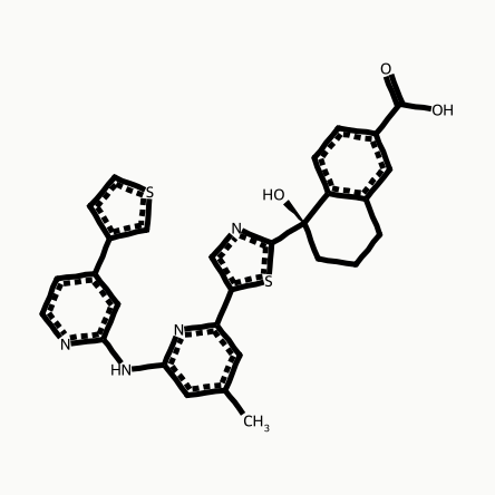 Cc1cc(Nc2cc(-c3ccsc3)ccn2)nc(-c2cnc([C@@]3(O)CCCc4cc(C(=O)O)ccc43)s2)c1